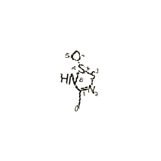 CC1=NS[S+]([O-])N1